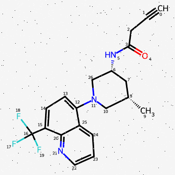 C#CCC(=O)N[C@@H]1C[C@H](C)CN(c2ccc(C(F)(F)F)c3ncccc23)C1